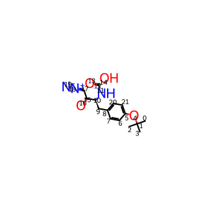 CC(C)(C)Oc1ccc(C[C@H](NC(=O)O)C(=O)C=[N+]=[N-])cc1